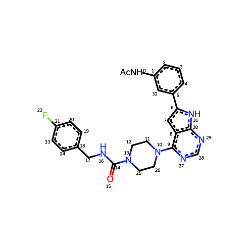 CC(=O)Nc1cccc(-c2cc3c(N4CCN(C(=O)NCc5ccc(F)cc5)CC4)ncnc3[nH]2)c1